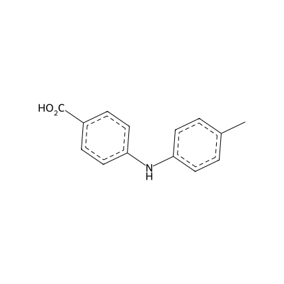 Cc1ccc(Nc2ccc(C(=O)O)cc2)cc1